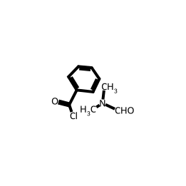 CN(C)C=O.O=C(Cl)c1ccccc1